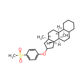 C[C@]12CC[C@@H]3[C@@H](CCC4CCCC[C@@]43C)[C@@H]1CC(Oc1ccc(S(C)(=O)=O)cc1)C2